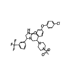 CS(=O)(=O)N1CCN(C(CN2C(=O)NCC2c2cccc(C(F)(F)F)c2)c2ccc(Oc3ccc(Cl)cc3)cc2)CC1